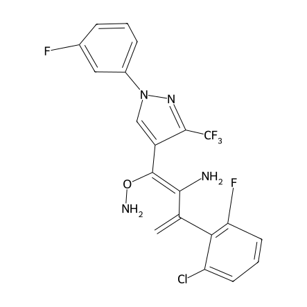 C=C(/C(N)=C(\ON)c1cn(-c2cccc(F)c2)nc1C(F)(F)F)c1c(F)cccc1Cl